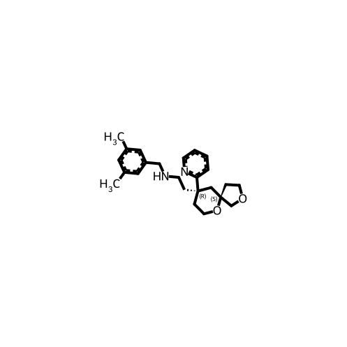 Cc1cc(C)cc(CNCC[C@@]2(c3ccccn3)CCO[C@]3(CCOC3)C2)c1